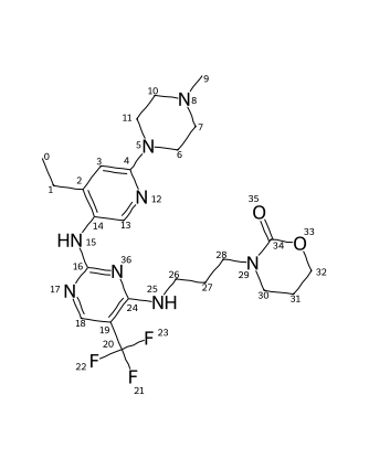 CCc1cc(N2CCN(C)CC2)ncc1Nc1ncc(C(F)(F)F)c(NCCCN2CCCOC2=O)n1